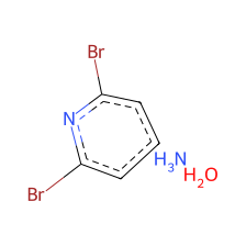 Brc1cccc(Br)n1.N.O